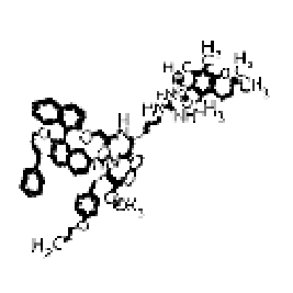 C=CCOc1ccc(C[C@H](NC(=O)[C@@H](CCCNC(=N)NS(=O)(=O)c2c(C)c(C)c3c(c2C)CCC(C)(C)O3)NC(=O)COc2ccc3ccccc3c2-c2c(OC/C=C/c3ccccc3)ccc3c2CCC=C3)C(=O)OC)cc1